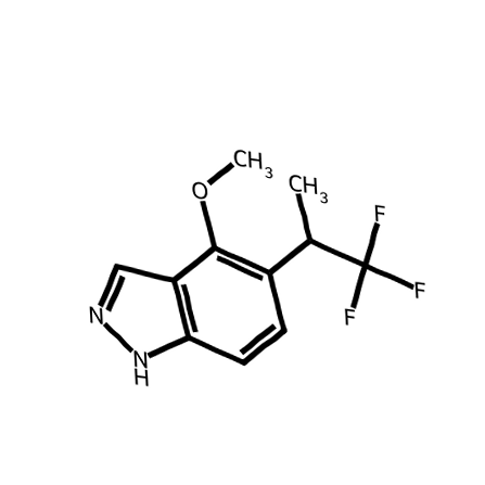 COc1c(C(C)C(F)(F)F)ccc2[nH]ncc12